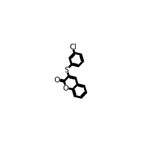 O=c1oc2ccccc2cc1Sc1cccc(Cl)c1